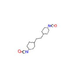 O=C=NC1CCC(CCC2CCC(N=C=O)CC2)CC1